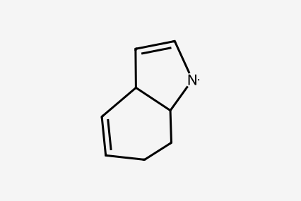 C1=CC2C=C[N]C2CC1